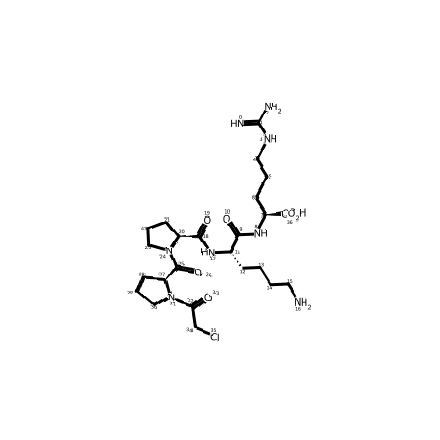 N=C(N)NCCC[C@H](NC(=O)[C@H](CCCCN)NC(=O)[C@@H]1CCCN1C(=O)[C@@H]1CCCN1C(=O)CCl)C(=O)O